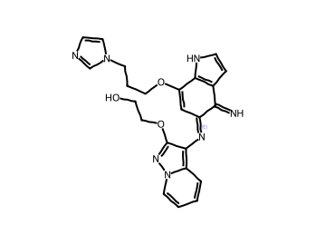 N=C1/C(=N/c2c(OCCO)nn3ccccc23)C=C(OCCCn2ccnc2)c2[nH]ccc21